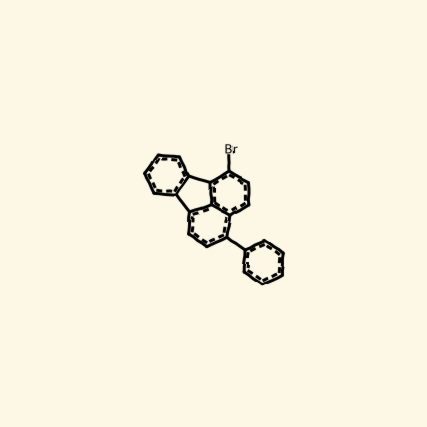 Brc1ccc2c(-c3ccccc3)ccc3c2c1-c1ccccc1-3